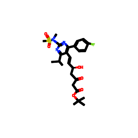 CC(C)c1nc(N(C)S(C)(=O)=O)nc(-c2ccc(F)cc2)c1/C=C/[C@@H](O)CC(=O)CC(=O)OC(C)(C)C